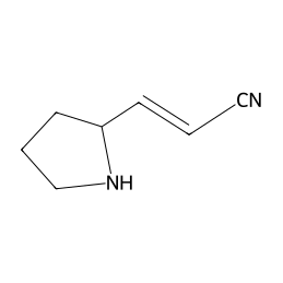 N#CC=CC1CCCN1